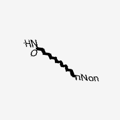 CCCCCCCCC/C=C/C=C/C=C/C=C/C=C/C=C/C([NH])=O